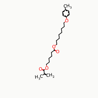 C=C(C)C(=O)OCCCCCC(=O)OCCCCCCCCOc1ccc(C)cc1